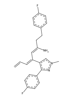 C=C/C=C(\C=C(/N)CCc1ccc(F)cc1)c1cn(C)nc1-c1ccc(F)cc1